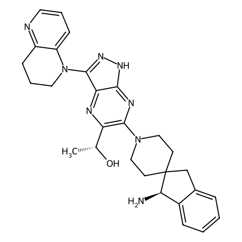 C[C@@H](O)c1nc2c(N3CCCc4ncccc43)n[nH]c2nc1N1CCC2(CC1)Cc1ccccc1[C@H]2N